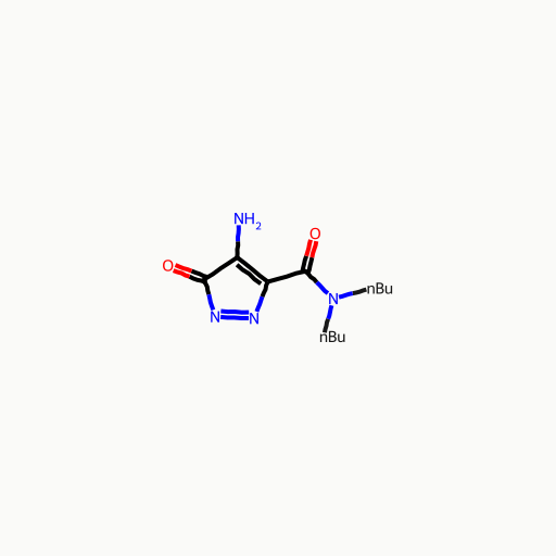 CCCCN(CCCC)C(=O)C1=C(N)C(=O)N=N1